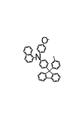 COc1ccc(N(c2ccc(C3(c4cccc(C)c4)c4ccccc4-c4ccccc43)cc2)c2cccc3ccccc23)cc1